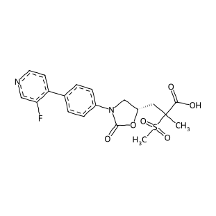 CC(C[C@H]1CN(c2ccc(-c3ccncc3F)cc2)C(=O)O1)(C(=O)O)S(C)(=O)=O